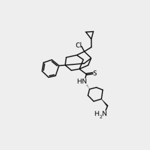 NC[C@H]1CC[C@H](NC(=S)C23CC4CC(c5ccccc5)(CC(C2)C4(Cl)CC2CC2)C3)CC1